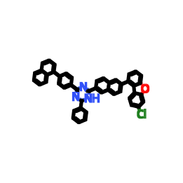 Clc1ccc2c(c1)oc1cccc(-c3ccc4cc(C5=NC(c6ccc(-c7cccc8ccccc78)cc6)=NC(c6ccccc6)N5)ccc4c3)c12